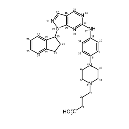 O=C(O)CCCN1CCN(c2ccc(Nc3ncc4cnn(C5CCc6ccccc65)c4n3)cc2)CC1